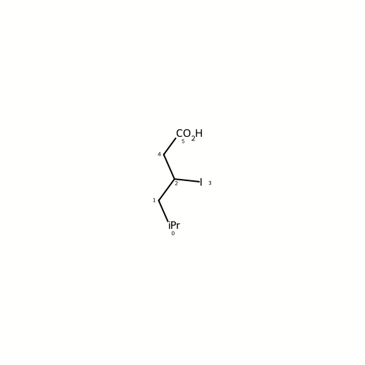 CC(C)CC(I)CC(=O)O